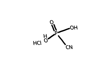 Cl.N#CP(=O)(O)O